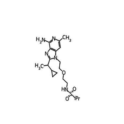 Cc1cc2c(nc(C(C)C3CC3)n2CCOCCNS(=O)(=O)C(C)C)c(N)n1